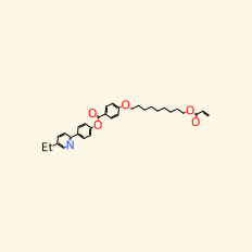 C=CC(=O)OCCCCCCCCCOc1ccc(C(=O)Oc2ccc(-c3ccc(CC)cn3)cc2)cc1